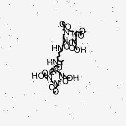 COC(=O)CN1CCN(CC(=O)O)CCN(CC(=O)NC(CCCCNC(=O)CN2CCN(CC(=O)O)CCN(CC(=O)OC)CCN(CC(=O)OC)CC2)C(C)C)CCN(CC(=O)O)CC1